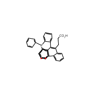 O=C(O)CCc1c(-c2ccccc2P(c2ccccc2)c2ccccc2)c2ccccc2c2ccccc12